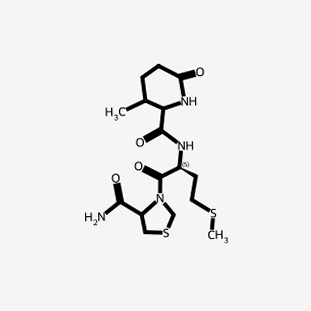 CSCC[C@H](NC(=O)C1NC(=O)CCC1C)C(=O)N1CSCC1C(N)=O